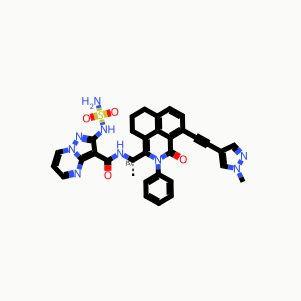 C[C@H](NC(=O)c1c(NS(N)(=O)=O)nn2cccnc12)c1c2c3c(ccc(C#Cc4cnn(C)c4)c3c(=O)n1-c1ccccc1)CCC2